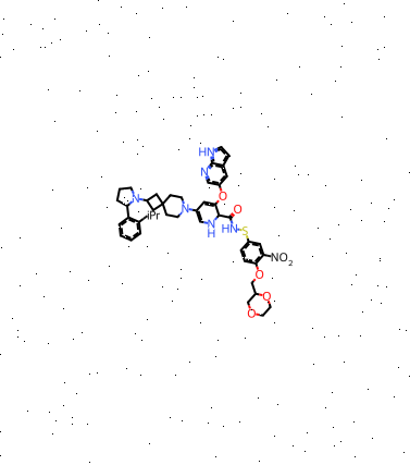 CC(C)c1ccccc1C1CCCN1C1CC2(CCN(C3=CNC(C(=O)NSc4ccc(OCC5COCCO5)c([N+](=O)[O-])c4)C(Oc4cnc5[nH]ccc5c4)=C3)CC2)C1